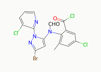 Cc1cc(Cl)cc(C(=O)Cl)c1N(C=O)c1cc(Br)nn1-c1ncccc1Cl